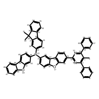 Cc1c(-c2ccccc2)nc(-c2ccc3c(c2)oc2ccc(N(c4ccc5c(c4)C(C)(C)c4ccccc4-5)c4ccc5c(c4)oc4ccccc45)cc23)nc1-c1ccccc1